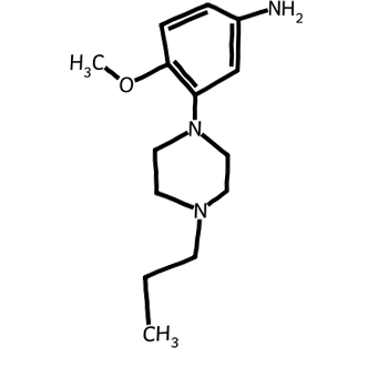 CCCN1CCN(c2cc(N)ccc2OC)CC1